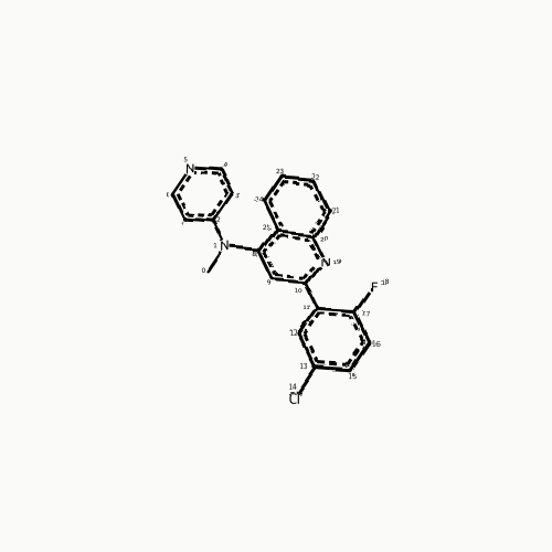 CN(c1ccncc1)c1cc(-c2cc(Cl)ccc2F)nc2ccccc12